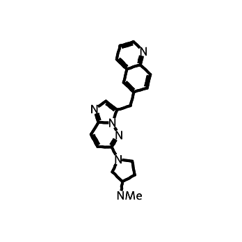 CNC1CCN(c2ccc3ncc(Cc4ccc5ncccc5c4)n3n2)C1